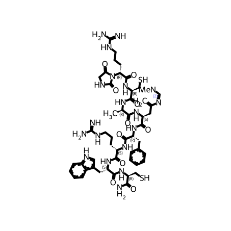 C=C(C[C@H](NC(=O)[C@@H](C)NC(=O)[C@H](CS)NC(=O)[C@@H](CCCNC(=N)N)N1C(=O)CNC1=O)C(=O)N[C@H](Cc1ccccc1)C(=O)N[C@@H](CCCNC(=N)N)C(=O)N[C@@H](Cc1c[nH]c2ccccc12)C(=O)N[C@@H](CS)C(N)=O)/N=C\NC